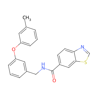 Cc1cccc(Oc2cccc(CNC(=O)c3ccc4ncsc4c3)c2)c1